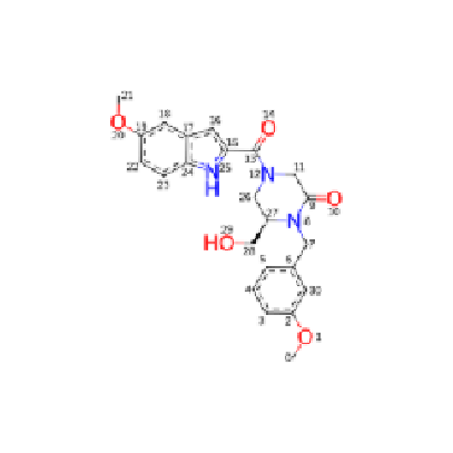 COc1cccc(CN2C(=O)CN(C(=O)c3cc4cc(OC)ccc4[nH]3)C[C@@H]2CO)c1